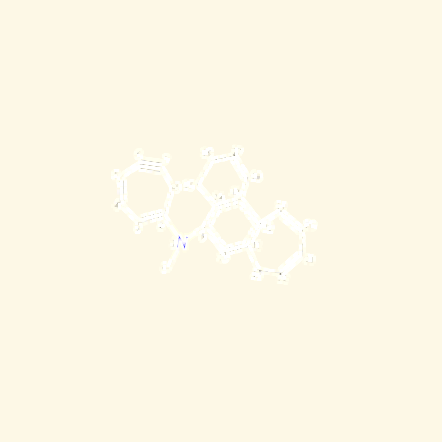 CN(C1=CC=CC#CC1)c1cc2c(c3c1CCC=C3)C=CC=CC2